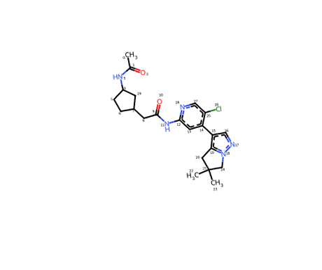 CC(=O)NC1CCC(CC(=O)Nc2cc(-c3cnn4c3CC(C)(C)C4)c(Cl)cn2)C1